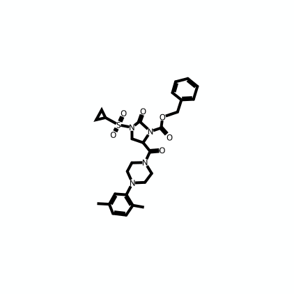 Cc1ccc(C)c(N2CCN(C(=O)C3CN(S(=O)(=O)C4CC4)C(=O)N3C(=O)OCc3ccccc3)CC2)c1